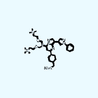 CSCC1CCC(c2cc(N(COCC[Si](C)(C)C)COCC[Si](C)(C)C)n3ncc(-c4cnn(-c5ccccc5)c4)c3n2)CC1